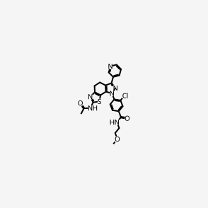 COCCNC(=O)c1ccc(-n2nc(-c3cccnc3)c3c2-c2sc(NC(C)=O)nc2CC3)c(Cl)c1